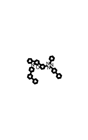 c1ccc(-c2ccc(-c3nc(-c4ccccc4)nc(-c4ccc5oc6c(ccc7c8ccccc8n(-c8ccc(-c9cccc(-c%10ccccc%10)c9)cc8)c76)c5c4)n3)cc2)cc1